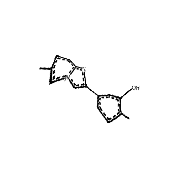 Cc1ccc2nc(-c3ccc(C)c(O)c3)cn2c1